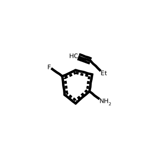 C#CCC.Nc1ccc(F)cc1